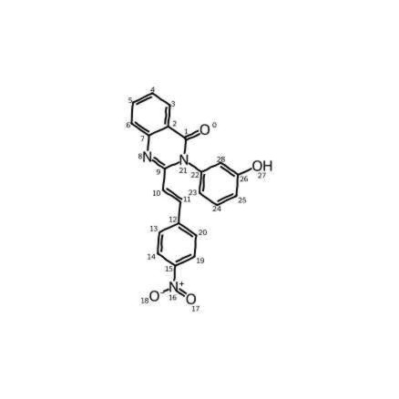 O=c1c2ccccc2nc(/C=C/c2ccc([N+](=O)[O-])cc2)n1-c1cccc(O)c1